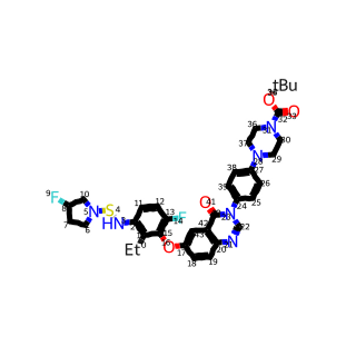 CCc1c(NSN2CCC(F)C2)ccc(F)c1Oc1ccc2ncn(-c3ccc(N4CCN(C(=O)OC(C)(C)C)CC4)cc3)c(=O)c2c1